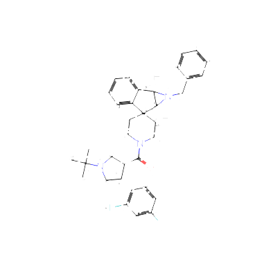 C[C@@H](c1ccccc1)N1[C@@H]2c3ccccc3C3(CCN(C(=O)[C@@H]4CN(C(C)(C)C)C[C@H]4c4ccc(F)cc4F)CC3)[C@@H]21